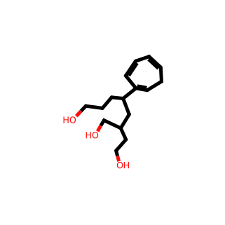 OCCCC(CC(CO)CCO)C1=CCC=CC=C1